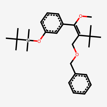 CO/C(=C(/COCc1ccccc1)C(C)(C)C)c1cccc(O[Si](C)(C)C(C)(C)C)c1